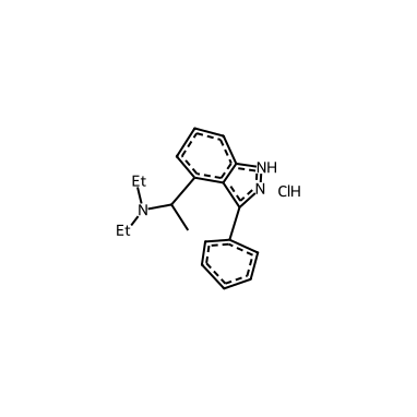 CCN(CC)C(C)c1cccc2[nH]nc(-c3ccccc3)c12.Cl